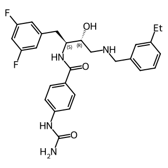 CCc1cccc(CNC[C@@H](O)[C@H](Cc2cc(F)cc(F)c2)NC(=O)c2ccc(NC(N)=O)cc2)c1